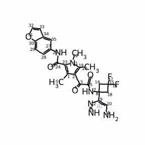 Cc1c(C(=O)C(=O)NC2(/C(=C/N)N=N)CC(F)(F)C2)c(C)n(C)c1C(=O)Nc1ccc2occc2c1